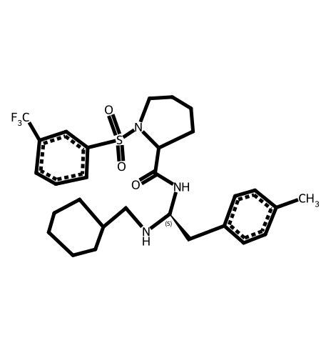 Cc1ccc(C[C@@H](NCC2CCCCC2)NC(=O)C2CCCCN2S(=O)(=O)c2cccc(C(F)(F)F)c2)cc1